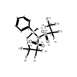 CS(C)(c1ccccc1)N(S(=O)(=O)C(F)(F)C(F)(F)F)S(=O)(=O)C(F)(F)C(F)(F)F